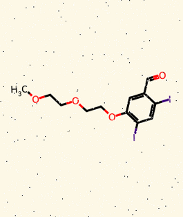 COCCOCCOc1cc(C=O)c(I)cc1I